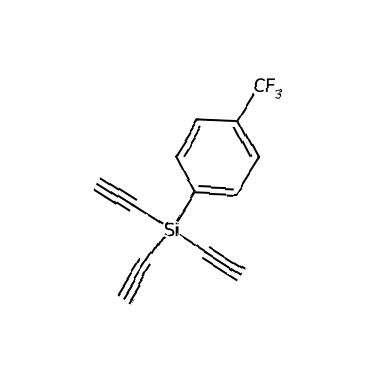 C#C[Si](C#C)(C#C)c1ccc(C(F)(F)F)cc1